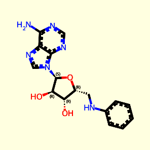 Nc1ncnc2c1ncn2[C@H]1O[C@H](CNc2ccccc2)[C@H](O)[C@H]1O